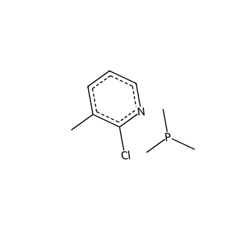 CP(C)C.Cc1cccnc1Cl